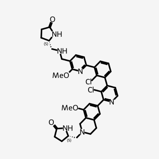 COc1cc(-c2nccc(-c3cccc(-c4ccc(CNC[C@@H]5CCC(=O)N5)c(OC)n4)c3Cl)c2Cl)cc2c1CN(C[C@@H]1CCC(=O)N1)CC2